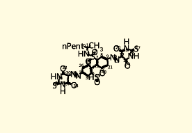 CCCCCC(C)NS(=O)(=O)c1cc(N=NC2C(=O)NC(=S)NC2=O)ccc1-c1ccc(N=NC2C(=O)NC(=S)NC2=O)cc1[SH](=O)=O